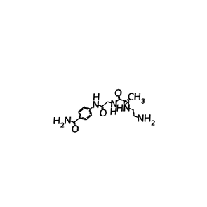 C[C@H](NCCN)C(=O)NCC(=O)Nc1ccc(C(N)=O)cc1